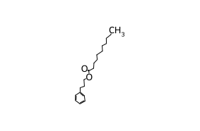 CCCCCCCCCCC(=O)OCCCc1ccccc1